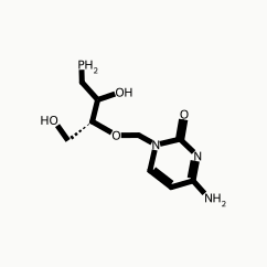 Nc1ccn(CO[C@H](CO)C(O)CP)c(=O)n1